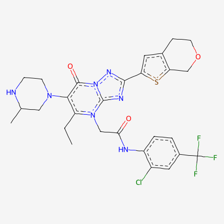 CCc1c(N2CCNC(C)C2)c(=O)n2nc(-c3cc4c(s3)COCC4)nc2n1CC(=O)Nc1ccc(C(F)(F)F)cc1Cl